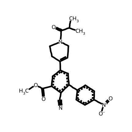 COC(=O)c1cc(C2=CCN(C(=O)C(C)C)CC2)cc(-c2ccc([N+](=O)[O-])cc2)c1C#N